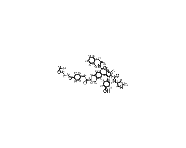 Cc1c(C(=O)Nc2cnn(C)c2)c(-c2ccc(O)cc2)c(-c2cc3c(cc2C(=O)N2Cc4ccccc4C[C@H]2C)CN(C(=O)Cc2ccc(OCCC4CCO4)cc2)CC3)n1C